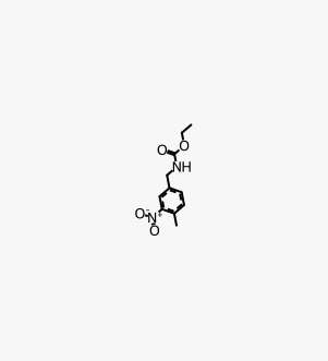 CCOC(=O)NCc1ccc(C)c([N+](=O)[O-])c1